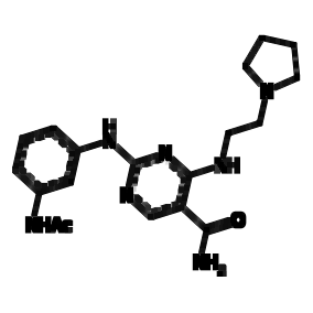 CC(=O)Nc1cccc(Nc2ncc(C(N)=O)c(NCCN3CCCC3)n2)c1